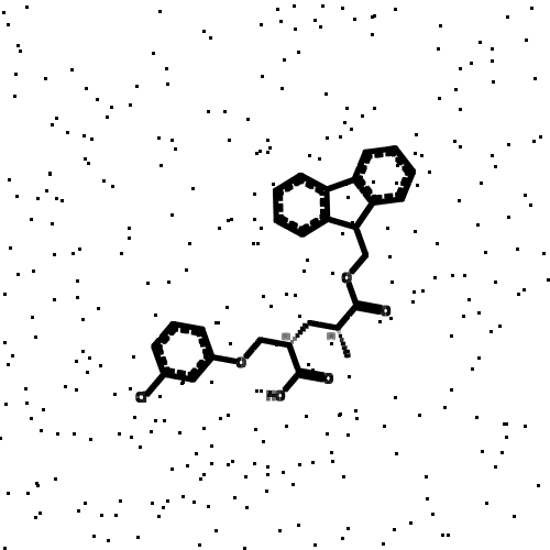 C[C@H](C[C@@H](COc1cccc(Cl)c1)C(=O)O)C(=O)OCC1c2ccccc2-c2ccccc21